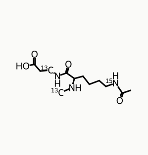 CC(=O)[15NH]CCCCC(N[13CH3])C(=O)N[13CH2]CC(=O)O